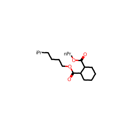 CCCOC(=O)C1CCCCC1C(=O)OCCCCC(C)C